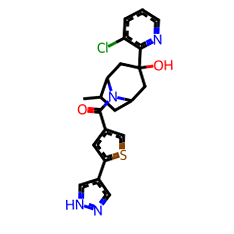 CC1CC2CC(O)(c3ncccc3Cl)CC1N2C(=O)c1csc(-c2cn[nH]c2)c1